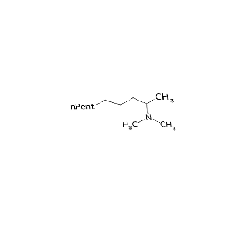 CCCCCCCCC(C)N(C)C